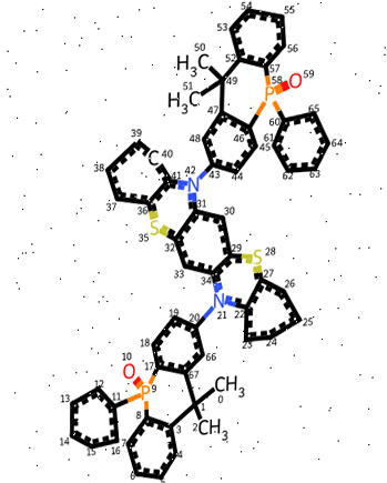 CC1(C)c2ccccc2P(=O)(c2ccccc2)c2ccc(-n3c4ccccc4sc4cc5c(cc43)sc3ccccc3n5-c3ccc4c(c3)C(C)(C)c3ccccc3P4(=O)c3ccccc3)cc21